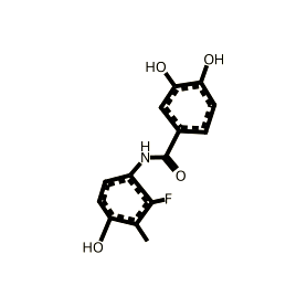 Cc1c(O)ccc(NC(=O)c2ccc(O)c(O)c2)c1F